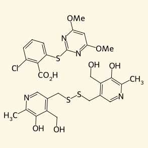 COc1cc(OC)nc(Sc2cccc(Cl)c2C(=O)O)n1.Cc1ncc(CSSCc2cnc(C)c(O)c2CO)c(CO)c1O